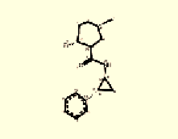 CC(C)[C@@H]1CC[C@@H](C)C[C@H]1C(=O)N[C@H]1C[C@@H]1c1ccccc1